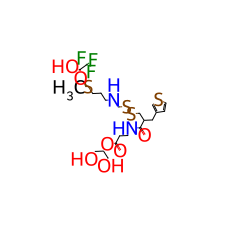 CSCCCNCSSCC(Cc1ccsc1)C(=O)NCCC(=O)OC(CO)CO.O=C(O)C(F)(F)F